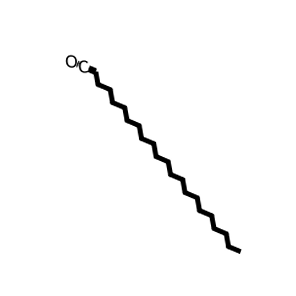 CCCCCCCCCCCCCCCCCCCCC=C=O